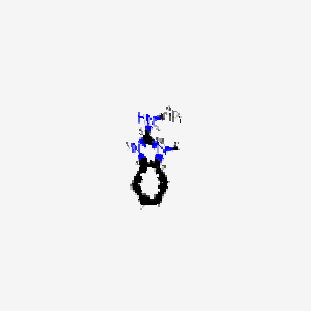 CCCNc1nc2ccccc2n1C